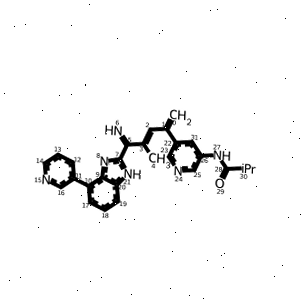 C=C(/C=C(\C)C(=N)c1nc2c(-c3cccnc3)cccc2[nH]1)c1cncc(NC(=O)C(C)C)c1